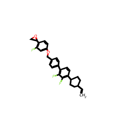 C=CC1CCC(c2ccc(-c3ccc(COc4ccc(C5CO5)c(F)c4)cc3)c(F)c2F)CC1